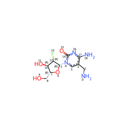 NCc1cn([C@@H]2O[C@H](CO)[C@@H](O)[C@H]2F)c(=O)nc1N